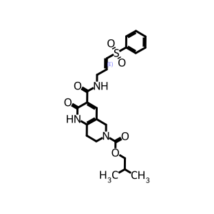 CC(C)COC(=O)N1CCc2[nH]c(=O)c(C(=O)NC/C=C/S(=O)(=O)c3ccccc3)cc2C1